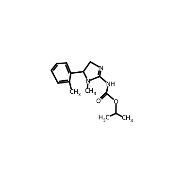 Cc1ccccc1C1CN=C(NC(=O)OC(C)C)N1C